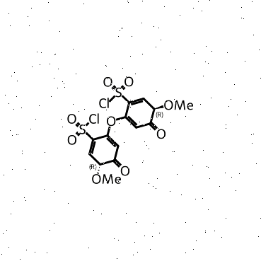 CO[C@@H]1C=C(S(=O)(=O)Cl)C(OC2=CC(=O)[C@H](OC)C=C2S(=O)(=O)Cl)=CC1=O